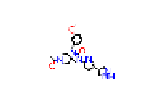 COc1cccc(CN2C(=O)N(c3ccc(C4C=NNC4)cn3)CC23CCN(C(C)=O)CC3)c1